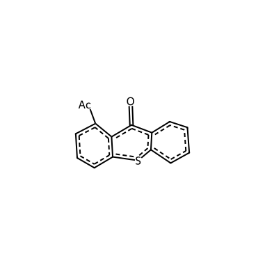 CC(=O)c1cccc2sc3ccccc3c(=O)c12